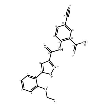 CCOc1ccccc1-c1cc(C(=O)Nc2ccc(C#N)cc2C(=O)O)no1